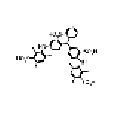 Cc1cc(C)c(S(=O)(=O)O)c(C)c1Nc1ccc(C(c2ccc(Nc3c(C)cc(C)c(S(=O)(=O)O)c3C)c(S(=O)(=O)O)c2)c2ccccc2S(=O)(=O)O)cc1